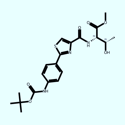 COC(=O)[C@@H](NC(=O)c1csc(-c2ccc(NC(=O)OC(C)(C)C)cc2)n1)[C@H](C)O